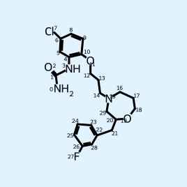 NC(=O)Nc1cc(Cl)ccc1OCCCN1CCCOC(Cc2cccc(F)c2)C1